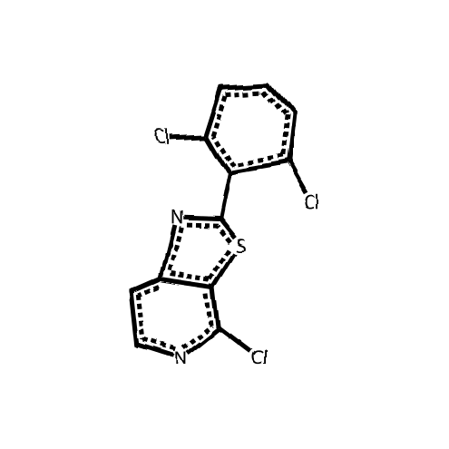 Clc1cccc(Cl)c1-c1nc2ccnc(Cl)c2s1